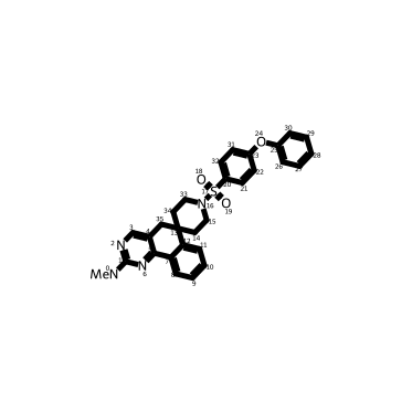 CNc1ncc2c(n1)-c1ccccc1C1(CCN(S(=O)(=O)c3ccc(Oc4ccccc4)cc3)CC1)C2